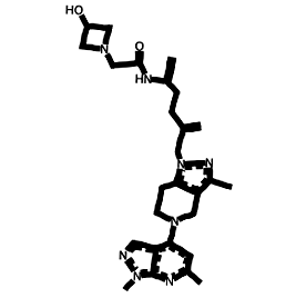 C=C(CCC(=C)NC(=O)CN1CC(O)C1)Cn1nc(C)c2c1CCN(c1cc(C)nc3c1cnn3C)C2